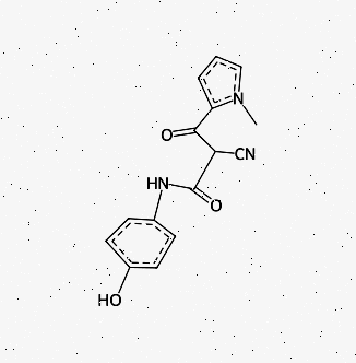 Cn1cccc1C(=O)C(C#N)C(=O)Nc1ccc(O)cc1